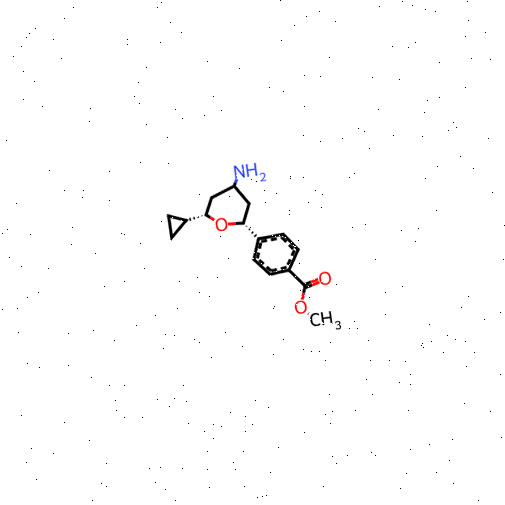 COC(=O)c1ccc([C@H]2CC(N)C[C@@H](C3CC3)O2)cc1